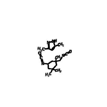 CC1(C)CC(N=C=O)CC(C)(CN=C=O)C1.Cc1cc(C)[nH]n1